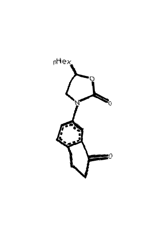 CCCCCCC1CN(c2ccc3c(c2)C(=O)CC3)C(=O)O1